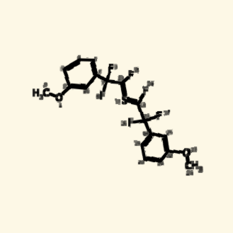 COc1cccc(C(F)(F)C(F)=S=C(F)C(F)(F)c2cccc(OC)c2)c1